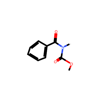 [CH2]N(C(=O)OC)C(=O)c1ccccc1